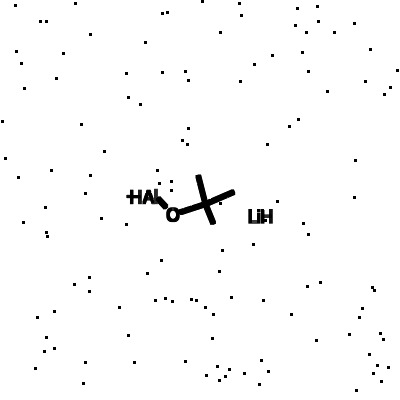 CC(C)(C)[O][AlH].[LiH]